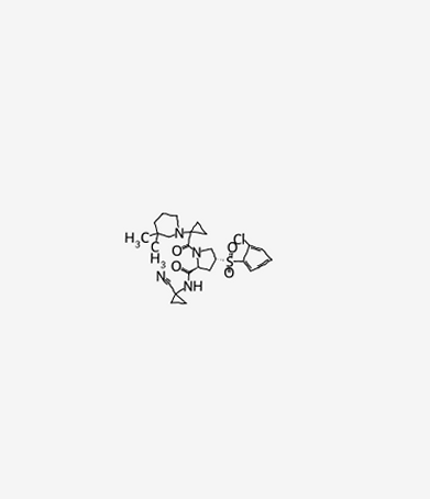 CC1(C)CCCN(C2(C(=O)N3C[C@H](S(=O)(=O)c4ccccc4Cl)C[C@H]3C(=O)NC3(C#N)CC3)CC2)C1